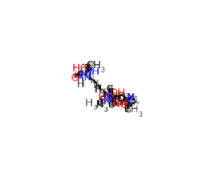 CB(O)/N=C(\N(CCCCCCCCN/C(=N\BC=O)NB(C)O)B(C)O)N(Cc1ccc(C2=NCCCN2B(C)O)cc1)B(C)O